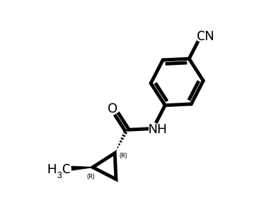 C[C@@H]1C[C@H]1C(=O)Nc1ccc(C#N)cc1